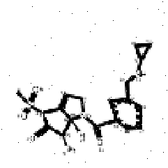 CC(C)[C@H]1C(=O)N(S(C)(=O)=O)C2=CCN(C(=O)c3cccc(CNC4CC4)c3)[C@@H]21